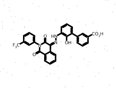 O=C(O)c1cccc(-c2cccc(N/N=C3\C(=O)N(c4cccc(C(F)(F)F)c4)C(=O)c4ccccc43)c2O)c1